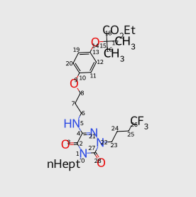 CCCCCCCn1c(=O)c(NCCCOc2ccc(OC(C)(C)C(=O)OCC)cc2)nn(CCCC(F)(F)F)c1=O